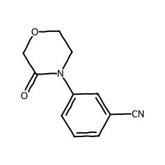 N#Cc1cccc(N2CCOCC2=O)c1